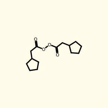 O=C(CC1CCCC1)OOC(=O)CC1CCCC1